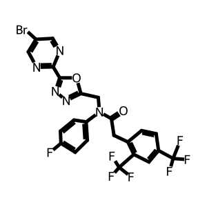 O=C(Cc1ccc(C(F)(F)F)cc1C(F)(F)F)N(Cc1nnc(-c2ncc(Br)cn2)o1)c1ccc(F)cc1